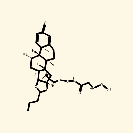 CCCC1O[C@@H]2C[C@H]3[C@@H]4CCC5=CC(=O)C=C[C@]5(C)[C@H]4[C@@H](O)C[C@]3(C)[C@]2(C(=O)COCNC(=O)CNSS)O1